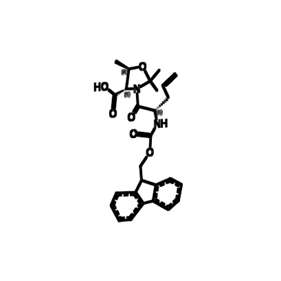 C=CC[C@H](NC(=O)OCC1c2ccccc2-c2ccccc21)C(=O)N1[C@H](C(=O)O)[C@@H](C)OC1(C)C